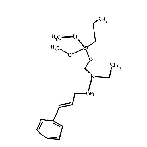 CCC[Si](OC)(OC)OCN(CC)NCC=Cc1ccccc1